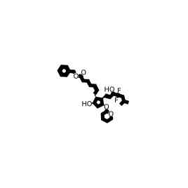 CC(C)CC(F)(F)C(O)/C=C/[C@@H]1[C@@H](C/C=C\CCCC(=O)OCc2ccccc2)[C@@H](O)C[C@H]1OC1CCCCO1